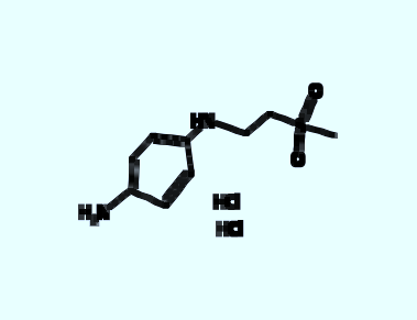 CS(=O)(=O)CCNc1ccc(N)cc1.Cl.Cl